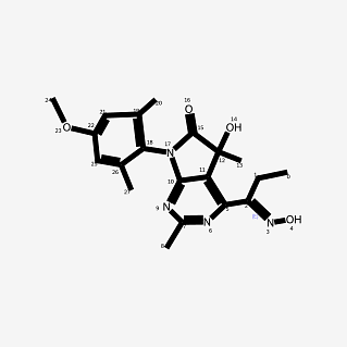 CC/C(=N\O)c1nc(C)nc2c1C(C)(O)C(=O)N2c1c(C)cc(OC)cc1C